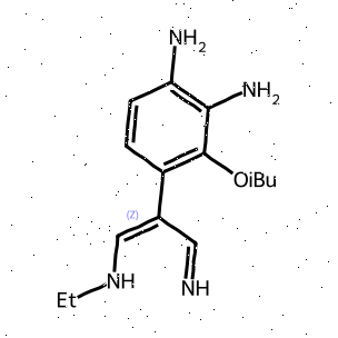 CCN/C=C(\C=N)c1ccc(N)c(N)c1OCC(C)C